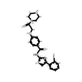 O=C(Nc1nc(-c2ccccc2F)cs1)c1ccc(OCC(=O)N2CCOCC2)cc1